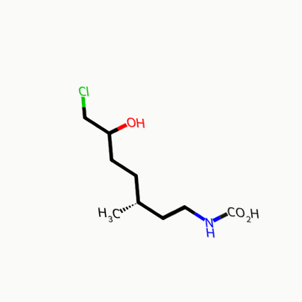 C[C@@H](CCNC(=O)O)CCC(O)CCl